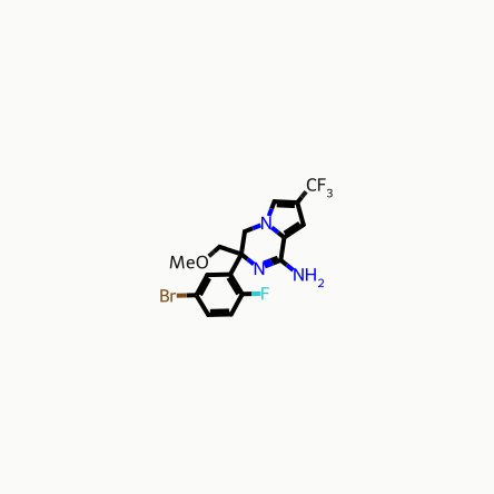 COCC1(c2cc(Br)ccc2F)Cn2cc(C(F)(F)F)cc2C(N)=N1